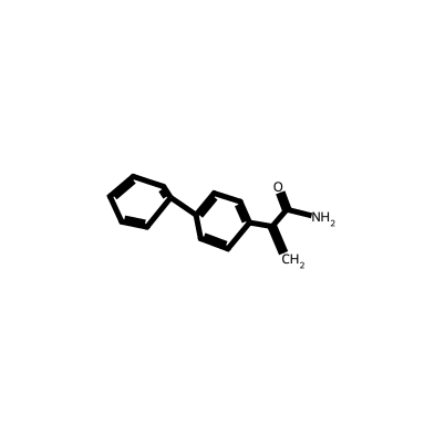 C=C(C(N)=O)c1ccc(-c2ccccc2)cc1